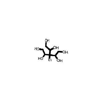 CCC(C(O)CO)(C(O)CO)C(O)CO